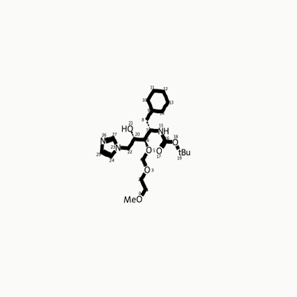 COCCOCO[C@H]([C@H](CC1CCCCC1)NC(=O)OC(C)(C)C)[C@@H](O)Cn1ccnc1